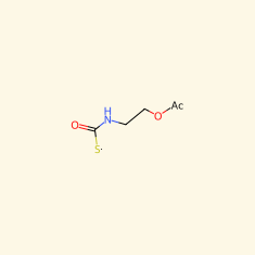 CC(=O)OCCNC(=O)[S]